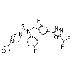 Fc1ccc(N(Cc2ccc(-c3nnc(C(F)F)o3)cc2F)C(=S)N2CC3CC2CN3C2COC2)cc1